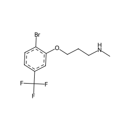 CNCCCOc1cc(C(F)(F)F)ccc1Br